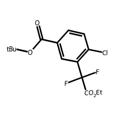 CCOC(=O)C(F)(F)c1cc(C(=O)OC(C)(C)C)ccc1Cl